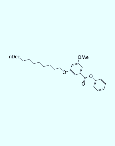 CCCCCCCCCCCCCCCCCCOc1cc(OC)cc(C(=O)Oc2ccccc2)c1